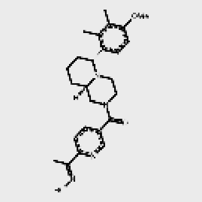 COc1ccc([C@H]2CCC[C@H]3CN(C(=O)c4ccc(C(C)=NO)nc4)CCN32)c(C)c1C